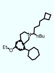 CCCCC(CCCC1CCC1)N1CCc2cc(OCC)cc(C3CCCCCC3)c2C1